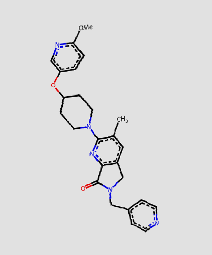 COc1ccc(OC2CCN(c3nc4c(cc3C)CN(Cc3ccncc3)C4=O)CC2)cn1